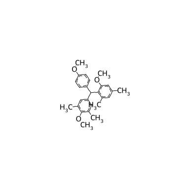 COc1ccc(C(c2cc(C)c(OC)c(C)c2)c2c(C)cc(C)cc2OC)cc1